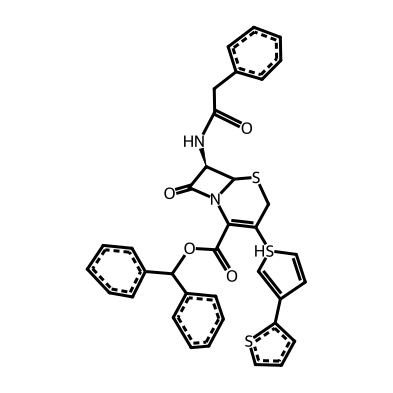 O=C(Cc1ccccc1)N[C@@H]1C(=O)N2C(C(=O)OC(c3ccccc3)c3ccccc3)=C([SH]3C=CC(c4cccs4)=C3)CSC12